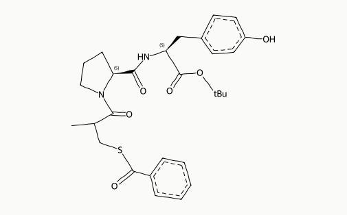 CC(CSC(=O)c1ccccc1)C(=O)N1CCC[C@H]1C(=O)N[C@@H](Cc1ccc(O)cc1)C(=O)OC(C)(C)C